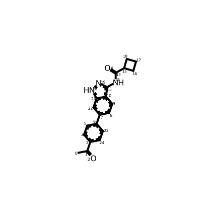 CC(=O)c1ccc(-c2ccc3c(NC(=O)C4CCC4)n[nH]c3c2)cc1